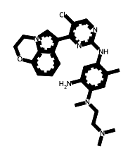 Cc1cc(N(C)CCN(C)C)c(N)cc1Nc1ncc(Cl)c(-c2cn3c4c(cccc24)OCC3)n1